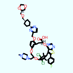 Cc1c(Cl)c2c(Cl)c(C)c1-c1c(-c3ccc(F)cc3)sc3ncnc(c13)O[C@@H](C(=O)O)Cc1cc(ccc1OCc1ccnc([C@H]3CC[C@H](COC[C@@H]4COCCO4)CC3)n1)OCC(CN1CCN(C)CC1)O2